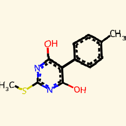 CSc1nc(O)c(-c2ccc(C)cc2)c(O)n1